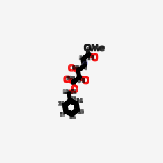 COC(=O)/C=C/C(=O)C(=O)C(=O)OCc1ccccc1